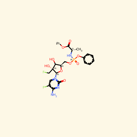 CC(C)OC(=O)[C@H](C)N[P@@](=O)(OC[C@H]1O[C@@H](n2cc(F)c(N)nc2=O)[C@@](O)(CF)C1O)Oc1ccccc1